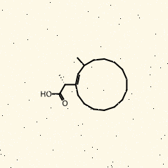 CC1/C=C(/[C@@H](C)C(=O)O)CCCCCCCCCCCC1